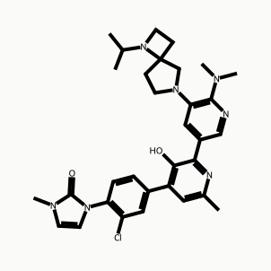 Cc1cc(-c2ccc(-n3ccn(C)c3=O)c(Cl)c2)c(O)c(-c2cnc(N(C)C)c(N3CCC4(CCN4C(C)C)C3)c2)n1